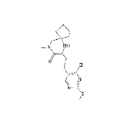 CSc1ncc(CCC2NC3(CCCC3)CN(C)C2=O)c(Cl)n1